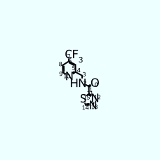 O=C(NCc1cc(C(F)(F)F)ccn1)c1nncs1